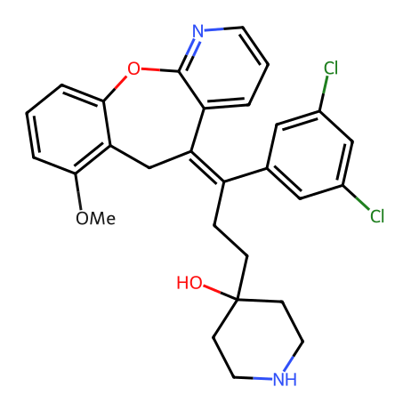 COc1cccc2c1CC(=C(CCC1(O)CCNCC1)c1cc(Cl)cc(Cl)c1)c1cccnc1O2